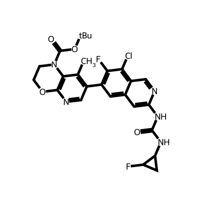 Cc1c(-c2cc3cc(NC(=O)NC4CC4F)ncc3c(Cl)c2F)cnc2c1N(C(=O)OC(C)(C)C)CCO2